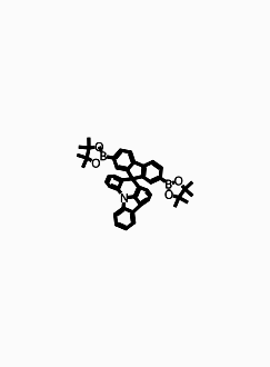 CC1(C)OB(c2ccc3c(c2)C2(c4cc(B5OC(C)(C)C(C)(C)O5)ccc4-3)c3ccccc3-n3c4ccccc4c4cccc2c43)OC1(C)C